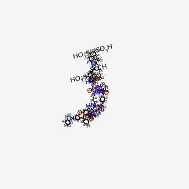 C=C(/C=C/C=C/C=C1\N(CCCCCC(=O)NCCNC(=O)[C@H](CCCCNC(=O)C2CCN(S(=O)(=O)c3ccccc3C3=c4ccc(=C)cc4Oc4cc(N5CCc6ccccc65)ccc43)CC2)NC(=O)C2(NC(=O)c3ccc(-c4csc(N5CCN(C)CC5)n4)cc3)CCCCC2)c2ccc3c(S(=O)(=O)O)cc(S(=O)(=O)O)cc3c2C1(C)C)C(C)(C)c1c(C)ccc2c(S(=O)(=O)O)cc(S(=O)(=O)O)cc12